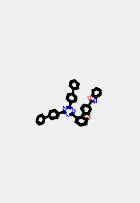 c1ccc(-c2ccc(-c3nc(-c4ccc(-c5ccccc5)cc4)nc(-c4cccc5sc6cc(-c7nc8ccccc8o7)ccc6c45)n3)cc2)cc1